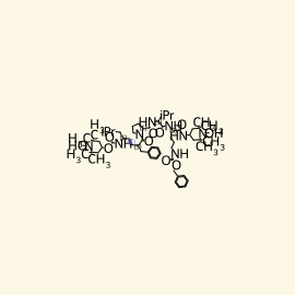 CC(C)C[C@@H](/C=C/[C@H](Cc1ccccc1)C(=O)N1CCC[C@H]1C(=O)N[C@H](C(=O)N[C@@H](CCCNC(=O)OCc1ccccc1)C(=O)NC1CC(C)(C)N(O)C(C)(C)C1)C(C)C)NC(=O)OC1CC(C)(C)N(O)C(C)(C)C1